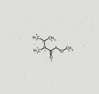 COCC(=O)N(C)C(C)C